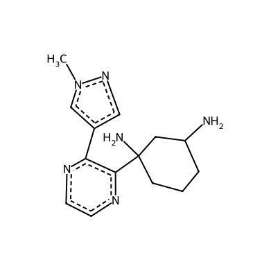 Cn1cc(-c2nccnc2C2(N)CCCC(N)C2)cn1